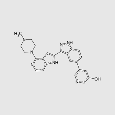 CN1CCN(c2nccc3[nH]c(-c4n[nH]c5ccc(-c6cncc(O)c6)cc45)cc23)CC1